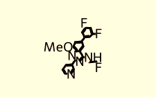 COc1cc(-c2cc(F)cc(F)c2)cc2c(NCCF)nc(-c3cccnc3)nc12